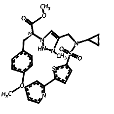 COC(=O)[C@H](Cc1ccc(OC)cc1)N1C=C(CN(C2CC2)S(=O)(=O)c2ccc(-c3ccccn3)s2)N(C)N1